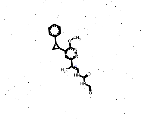 COc1nnc(/C(C)=C/NC(=O)NC=O)cc1C1CC1c1ccccc1